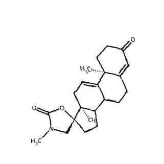 CN1C[C@@]2(CCC3C4CCC5=CC(=O)CC[C@]5(C)C4=CC[C@@]32C)OC1=O